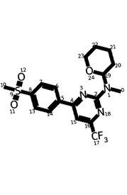 CN(c1nc(-c2ccc(S(C)(=O)=O)cc2)cc(C(F)(F)F)n1)C1CCCCO1